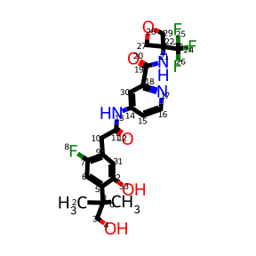 CC(C)(CO)c1cc(F)c(CC(=O)Nc2ccnc(C(=O)NC3(C(F)(F)F)COC3)c2)cc1O